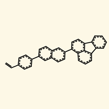 C=Cc1ccc(-c2ccc3cc(-c4ccc5c6c(cccc46)-c4ccccc4-5)ccc3c2)cc1